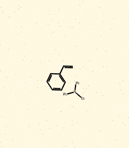 C=Cc1ccccc1.CCN(C(C)C)C(C)C